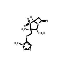 Cn1nnnc1SC[C@@]1(C)[C@H](C(=O)O)N2C(=O)C[C@@H]2S1(=O)=O